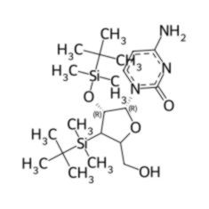 CC(C)(C)[Si](C)(C)O[C@H]1C([Si](C)(C)C(C)(C)C)C(CO)O[C@H]1n1ccc(N)nc1=O